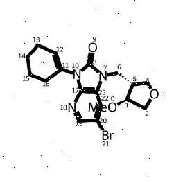 CO[C@@H]1COC[C@H]1Cn1c(=O)n(C2=CCCCC2)c2ncc(Br)cc21